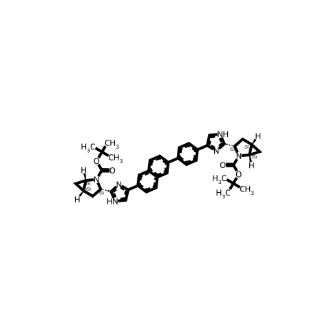 CC(C)(C)OC(=O)N1[C@H](c2nc(-c3ccc(-c4ccc5cc(-c6c[nH]c([C@@H]7C[C@@H]8C[C@@H]8N7C(=O)OC(C)(C)C)n6)ccc5c4)cc3)c[nH]2)C[C@@H]2C[C@@H]21